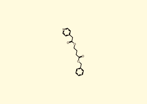 O=C(CCCOC(=O)Cc1ccncc1)OCc1ccccc1